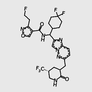 O=C(NC(c1cn2nc(CC3C[C@@H](C(F)(F)F)CNC3=O)ccc2n1)C1CCC(F)(F)CC1)c1conc1CCF